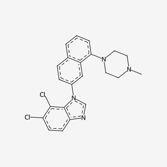 CN1CCN(c2cccc3ccc(-n4cnc5ccc(Cl)c(Cl)c54)cc23)CC1